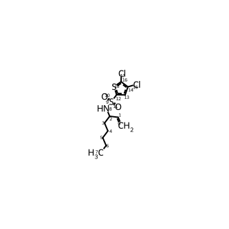 C=CC(CCCCC)NS(=O)(=O)c1cc(Cl)c(Cl)s1